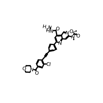 CN(c1cc2nc(-c3ccc(C#Cc4ccc(C(=O)N5CCOCC5)cc4Cl)cc3)cc(C(=O)NN)c2cn1)S(C)(=O)=O